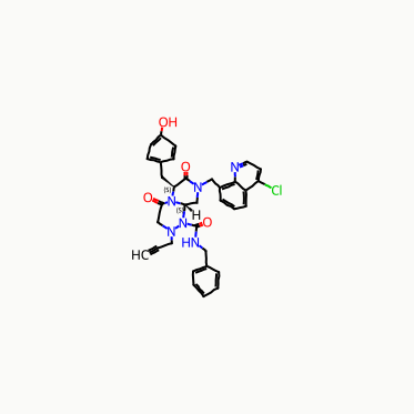 C#CCN1CC(=O)N2[C@@H](Cc3ccc(O)cc3)C(=O)N(Cc3cccc4c(Cl)ccnc34)C[C@@H]2N1C(=O)NCc1ccccc1